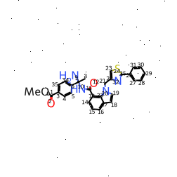 COC(=O)c1ccc(C(C)(N)NC(=O)c2cccc3ccn(Cc4csc(-c5ccccc5)n4)c23)cc1